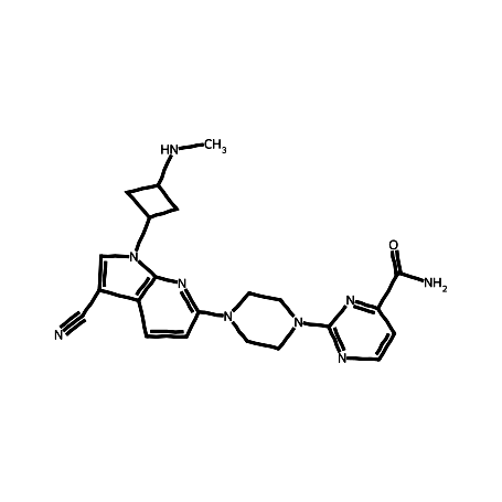 CNC1CC(n2cc(C#N)c3ccc(N4CCN(c5nccc(C(N)=O)n5)CC4)nc32)C1